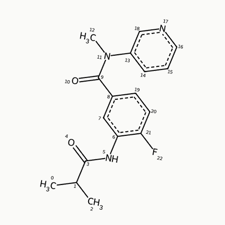 CC(C)C(=O)Nc1cc(C(=O)N(C)c2cccnc2)ccc1F